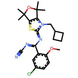 COc1ccc(Cl)cc1C(=NC#N)/N=c1\sc2c(n1CC1CCC1)C(C)(C)OC2(C)C